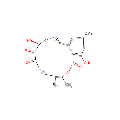 COc1cc(O)c2c(c1)/C=C/C[C@H](O)[C@H](O)C(=O)/C=C\C(C(F)(F)F)C(C)OC2=O